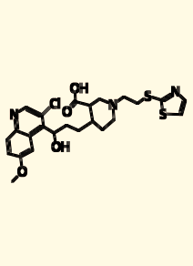 COc1ccc2ncc(Cl)c(C(O)CCC3CCN(CCSc4nccs4)CC3C(=O)O)c2c1